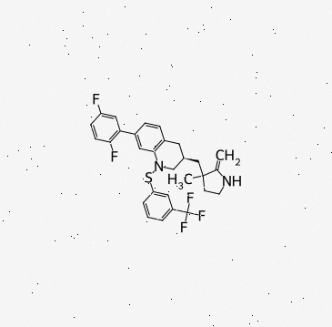 C=C1NCCC1(C)C[C@@H]1Cc2ccc(-c3cc(F)ccc3F)cc2N(Sc2cccc(C(F)(F)F)c2)C1